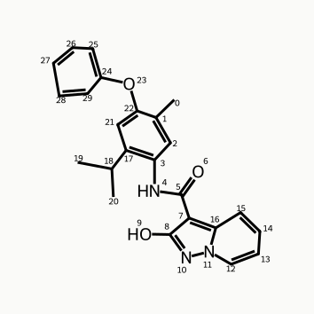 Cc1cc(NC(=O)c2c(O)nn3ccccc23)c(C(C)C)cc1Oc1ccccc1